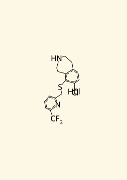 Cl.FC(F)(F)c1cccc(CSc2c(Cl)ccc3c2CCNCC3)n1